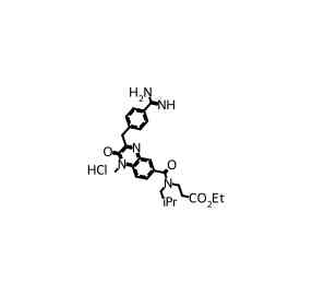 CCOC(=O)CCN(CC(C)C)C(=O)c1ccc2c(c1)nc(Cc1ccc(C(=N)N)cc1)c(=O)n2C.Cl